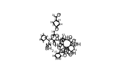 BN=N[C@@H](c1ccccc1)C(OC(=O)COc1ccc(C(C)=O)cc1)C(=O)O[C@H]1C[C@@]2(O)[C@@H](OC(=O)c3ccccc3)[C@@H]3[C@]4(OC(C)=O)CO[C@@H]4C[C@H](O)[C@@]3(C)C(=O)[C@H](O)C(=C1C)C2(C)C